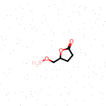 BOCC1CCC(=O)O1